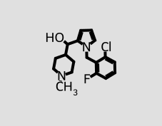 CN1CCC(C(O)c2cccn2Cc2c(F)cccc2Cl)CC1